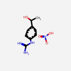 CC(O)c1ccc(NC(=N)N)cc1.O=[N+]([O-])O